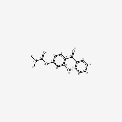 CN(C)C(=S)Oc1ccc(C(=O)c2ccccc2)c(O)c1